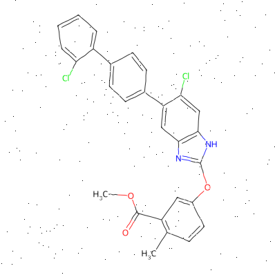 COC(=O)c1cc(Oc2nc3cc(-c4ccc(-c5ccccc5Cl)cc4)c(Cl)cc3[nH]2)ccc1C